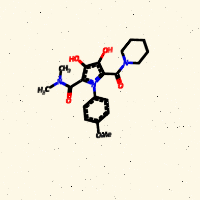 COc1ccc(-n2c(C(=O)N(C)C)c(O)c(O)c2C(=O)N2CCCCC2)cc1